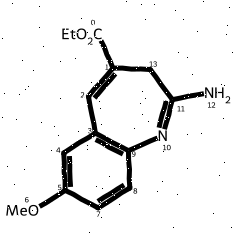 CCOC(=O)C1=Cc2cc(OC)ccc2N=C(N)C1